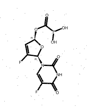 O=C(O[C@@H]1C=C(F)[C@H](n2cc(F)c(=O)[nH]c2=O)O1)P(O)O